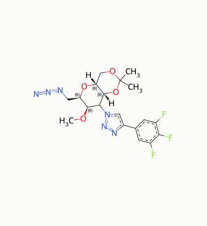 CO[C@@H]1C(n2cc(-c3cc(F)c(F)c(F)c3)nn2)[C@H]2OC(C)(C)OC[C@H]2O[C@@H]1CN=[N+]=[N-]